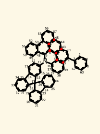 c1ccc(-c2ccc(-c3c(N(c4ccc5c(c4)C4(c6ccccc6-c6ccccc64)c4ccccc4-5)c4ccccc4-c4ccccc4)c4ccccc4c4ccccc34)cc2)cc1